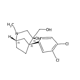 CN1C[C@](O)(CO)[C@]2(c3ccc(Cl)c(Cl)c3)CC[C@H]1C2